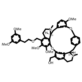 COc1cc(CCOCc2c3c4c(c(OC)c2OC)Oc2cc5c(cc2CO)CCN(C)[C@H]5Cc2ccc(cc2)Oc2cc(ccc2OC)C[C@@H]4N(C)CC3)cc(OC)c1